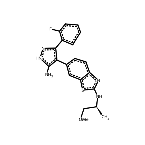 COC[C@H](C)Nc1nc2ccc(-c3c(-c4ccccc4F)n[nH]c3N)cc2s1